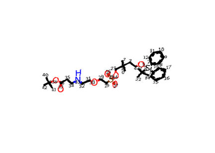 CC(C)(CCO[Si](c1ccccc1)(c1ccccc1)C(C)(C)C)COS(=O)(=O)CCOCCNCCC(=O)OC(C)(C)C